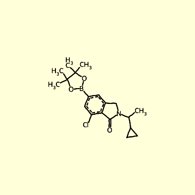 CC(C1CC1)N1Cc2cc(B3OC(C)(C)C(C)(C)O3)cc(Cl)c2C1=O